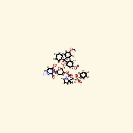 COc1ccc(C(OC[C@H]2O[C@@H](n3c(=O)cc[nH]c3=O)CC[C@@H]2O[P@@]2O[C@H](CS(=O)(=O)c3ccccc3)[C@@H]3CCCN32)(c2ccccc2)c2ccc(OC)cc2)cc1